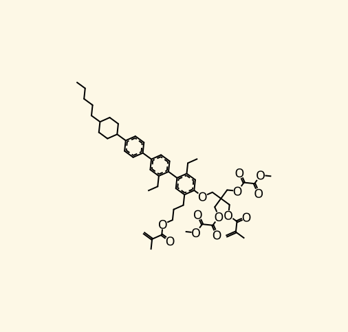 C=C(C)C(=O)OCCCc1cc(-c2ccc(-c3ccc(C4CCC(CCCCC)CC4)cc3)cc2CC)c(CC)cc1OCC(COC(=O)C(=C)C)(COC(=O)C(=O)OC)COC(=O)C(=O)OC